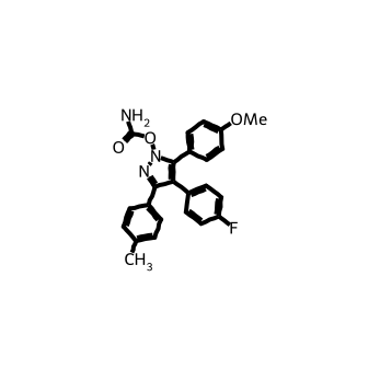 COc1ccc(-c2c(-c3ccc(F)cc3)c(-c3ccc(C)cc3)nn2OC(N)=O)cc1